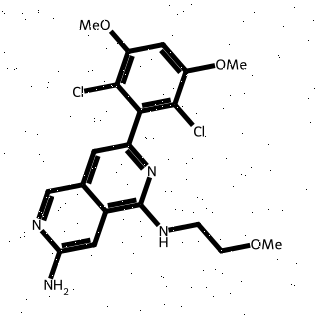 COCCNc1nc(-c2c(Cl)c(OC)cc(OC)c2Cl)cc2cnc(N)cc12